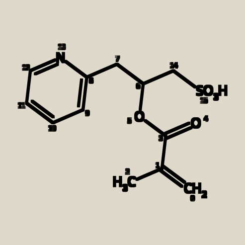 C=C(C)C(=O)OC(Cc1ccccn1)CS(=O)(=O)O